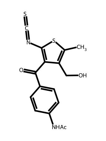 CC(=O)Nc1ccc(C(=O)c2c(N=C=S)sc(C)c2CO)cc1